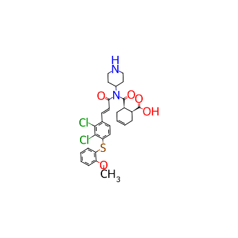 COc1ccccc1Sc1ccc(C=CC(=O)N(C(=O)[C@@H]2CC=CC[C@@H]2C(=O)O)C2CCNCC2)c(Cl)c1Cl